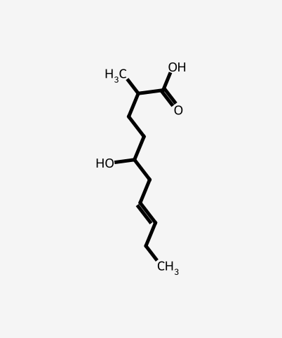 CCC=CCC(O)CCC(C)C(=O)O